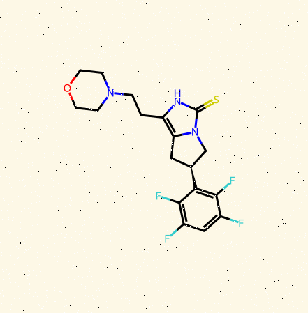 Fc1cc(F)c(F)c([C@H]2Cc3c(CCN4CCOCC4)[nH]c(=S)n3C2)c1F